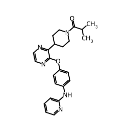 CC(C)C(=O)N1CCC(c2nccnc2Oc2ccc(Nc3ccccn3)cc2)CC1